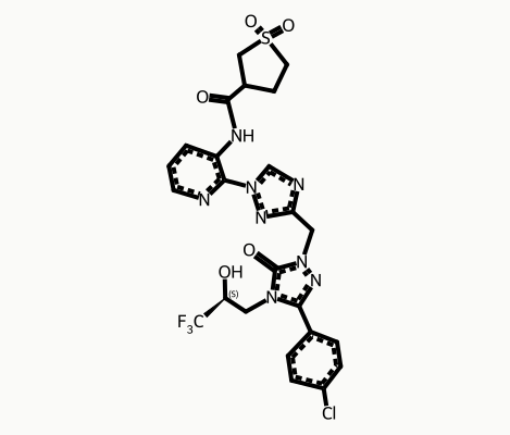 O=C(Nc1cccnc1-n1cnc(Cn2nc(-c3ccc(Cl)cc3)n(C[C@H](O)C(F)(F)F)c2=O)n1)C1CCS(=O)(=O)C1